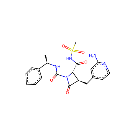 C[C@@H](NC(=O)N1C(=O)[C@H](Cc2ccnc(N)c2)[C@H]1C(=O)NS(C)(=O)=O)c1ccccc1